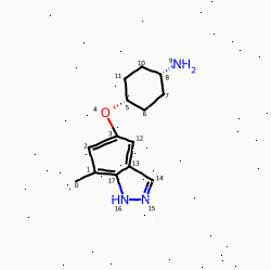 Cc1cc(O[C@H]2CC[C@@H](N)CC2)cc2cn[nH]c12